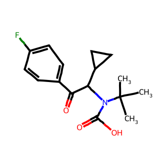 CC(C)(C)N(C(=O)O)C(C(=O)c1ccc(F)cc1)C1CC1